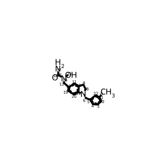 Cc1cccc(CN2CCc3cc(CN(O)C(N)=O)ccc32)c1